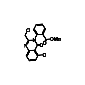 COC(=O)c1ccccc1-n1c(CCl)nc2cccc(Cl)c2c1=O